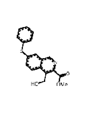 COC(=O)c1ncc2cc(Sc3ccccc3)ccc2c1CO